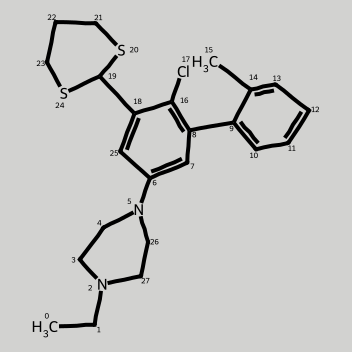 CCN1CCN(c2cc(-c3ccccc3C)c(Cl)c(C3SCCCS3)c2)CC1